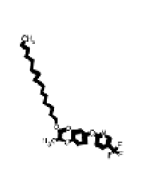 CCCCCCCCCCCCCCCOC(=O)C(C)Oc1ccc(Oc2ccc(C(F)(F)F)cn2)cc1